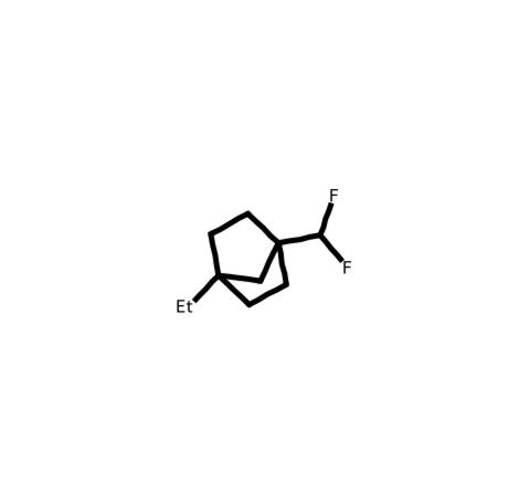 CCC12CCC(C(F)F)(CC1)C2